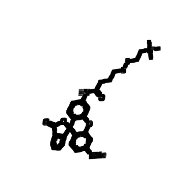 CNc1ccc2c(c1)Oc1cc(NC(=O)CCCSSCC[N+](C)(C)C)ccc1C21OC(=O)c2ccccc21